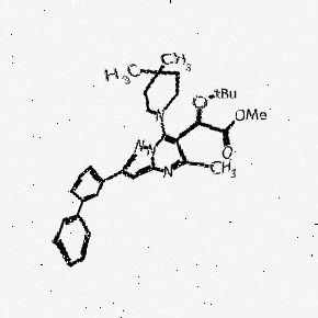 COC(=O)C(OC(C)(C)C)c1c(C)nc2cc(-c3cccc(-c4ccccc4)c3)nn2c1N1CCC(C)(C)CC1